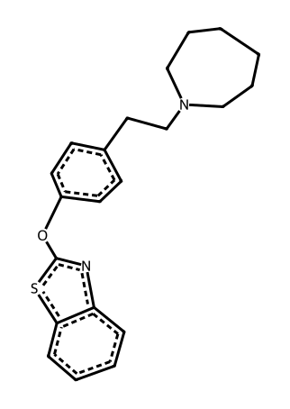 c1ccc2sc(Oc3ccc(CCN4CCCCCC4)cc3)nc2c1